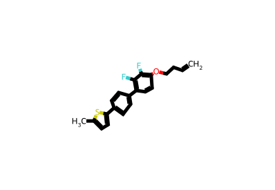 C=CCCOc1ccc(-c2ccc(-c3ccc(C)s3)cc2)c(F)c1F